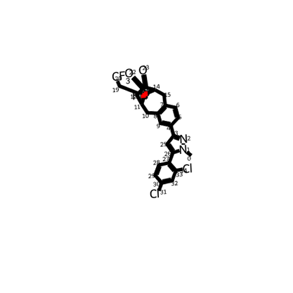 Cn1nc(-c2ccc3c(c2)CC2CCC(C3)C23CN(CC(F)(F)F)S(=O)(=O)N3)cc1-c1ccc(Cl)cc1Cl